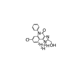 [2H]C([2H])([2H])n1c(CO)nc2c(=O)n(-c3ccccc3)c3cc(Cl)ccc3c21